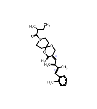 C=C1OC2(CCN(C(=O)C(C)CC)CC2)OC/C1=C/C(=C)/C(C)=C/c1ccccc1C